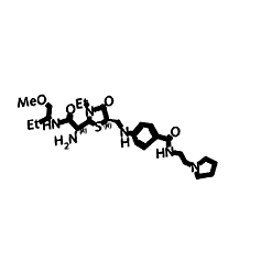 CCC(COC)NC(=O)[C@@H](N)C1S[C@H](CNc2ccc(C(=O)NCCN3CCCC3)cc2)C(=O)N1CC